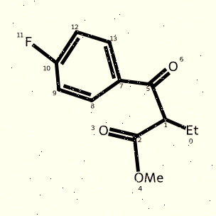 CCC(C(=O)OC)C(=O)c1ccc(F)cc1